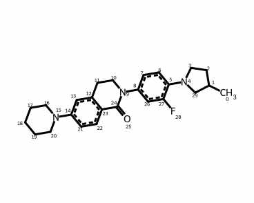 CC1CCN(c2ccc(N3CCc4cc(N5CCCCC5)ccc4C3=O)cc2F)C1